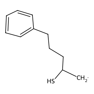 [CH2]C(S)CCCc1ccccc1